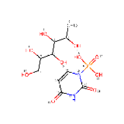 O=CC(O)C(O)C(O)C(O)CO.O=c1ccn(P(=O)(O)O)c(=O)[nH]1